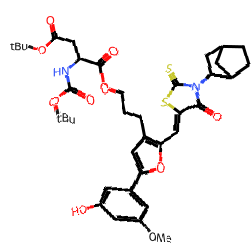 COc1cc(O)cc(-c2cc(CCCOC(=O)C(CC(=O)OC(C)(C)C)NC(=O)OC(C)(C)C)c(C=C3SC(=S)N(C4CC5CCC4C5)C3=O)o2)c1